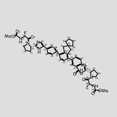 COC(=O)N[C@@H](C)C(=O)N1CCC[C@H]1c1ncc(-c2ccc(-c3ccc(-c4ccc5nc([C@@H]6CCCN6C(=O)[C@H](C)NC(=O)OC)[nH]c(=O)c5c4)c4c3CC3(CCCC3)C4)cc2)[nH]1